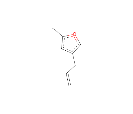 [CH2]c1cc(CC=C)co1